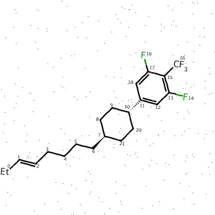 CC/C=C/CCCC[C@H]1CC[C@H](c2cc(F)c(C(F)(F)F)c(F)c2)CC1